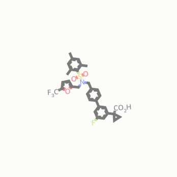 Cc1cc(C)c(S(=O)(=O)N(Cc2ccc(-c3cc(F)cc(C4(C(=O)O)CC4)c3)cc2)Cc2ccc(C(F)(F)F)o2)c(C)c1